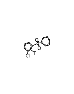 O=S(=O)(c1ccccc1)c1cccc(Cl)c1F